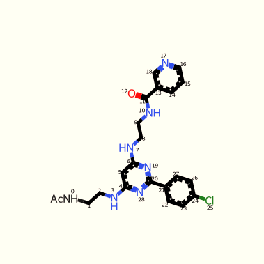 CC(=O)NCCNc1cc(NCCNC(=O)c2cccnc2)nc(-c2ccc(Cl)cc2)n1